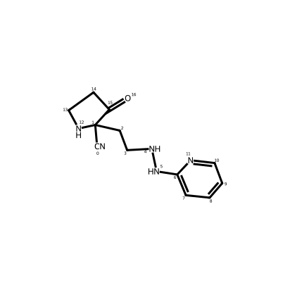 N#CC1(CCNNc2ccccn2)NCCC1=O